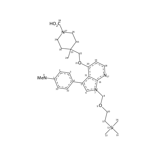 CNc1ccc(-c2cn(COCC[Si](C)(C)C)c3nccc(OCC4(C)CCN(C(=O)O)CC4)c23)cc1